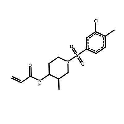 C=CC(=O)NC1CCN(S(=O)(=O)c2ccc(C)c(Cl)c2)CC1C